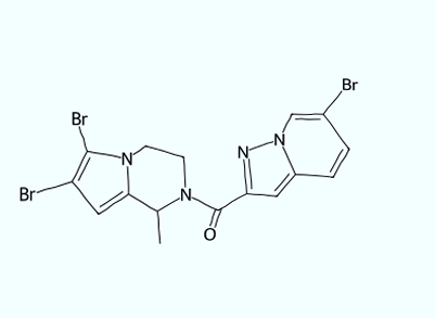 CC1c2cc(Br)c(Br)n2CCN1C(=O)c1cc2ccc(Br)cn2n1